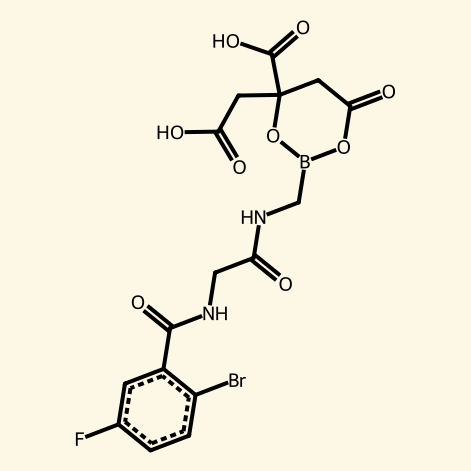 O=C(O)CC1(C(=O)O)CC(=O)OB(CNC(=O)CNC(=O)c2cc(F)ccc2Br)O1